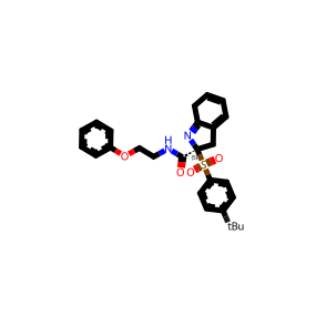 CC(C)(C)c1ccc(S(=O)(=O)[C@]2(C(=O)NCCOc3ccccc3)CC3=CC=CCC3=N2)cc1